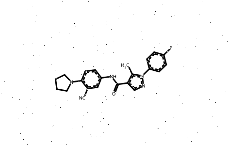 Cc1c(C(=O)Nc2ccc(N3CCCC3)c(C#N)c2)cnn1-c1ccc(F)cc1